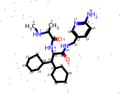 CNC(C)C(=O)N[C@@H](C(=O)NCc1ccc(N)nc1)C(C1CCCCC1)C1CCCCC1